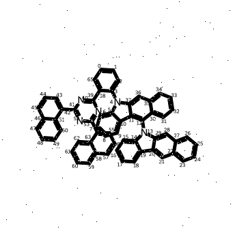 c1ccc(-n2c3ccccc3c3c(-n4c5ccccc5c5cc6ccccc6cc54)c4ccccc4cc32)c(-c2nc(-c3cccc4ccccc34)nc(-c3cccc4ccccc34)n2)c1